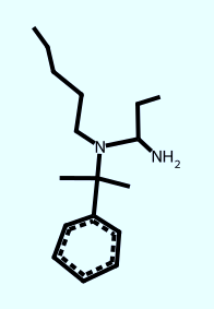 CCCCCN(C(N)CC)C(C)(C)c1ccccc1